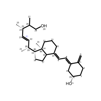 C=C1CC[C@H](O)CC1=CC=C1CCC[C@@]2(C)C1CC[C@@H]2[C@H](C)/C=C/[C@H](C)C(C)CO